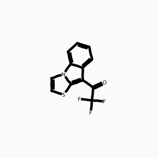 O=C(c1c2ccccc2n2ccsc12)C(F)(F)F